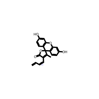 C=C/C=C\C1=C(C)C2(OC1=O)c1ccc(O)cc1Oc1cc(O)ccc12